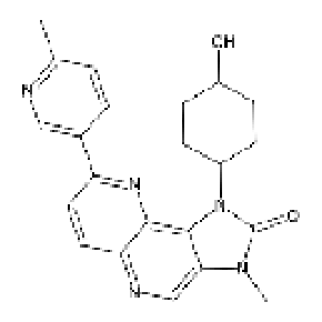 Cc1ccc(-c2ccc3ncc4c(c3n2)n(C2CCC(O)CC2)c(=O)n4C)cn1